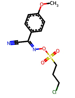 COc1ccc(/C(C#N)=N\OS(=O)(=O)CCCCl)cc1